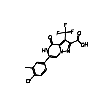 Cc1cc(-c2cn3nc(C(=O)O)c(C(F)(F)F)c3c(=O)[nH]2)ccc1Cl